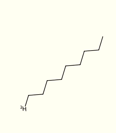 [2H]CCCCCCCCC